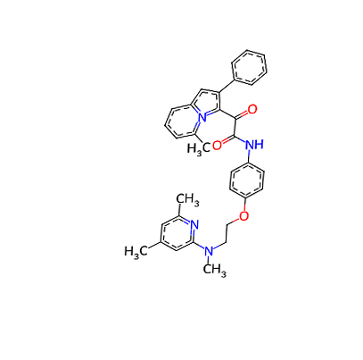 Cc1cc(C)nc(N(C)CCOc2ccc(NC(=O)C(=O)c3c(-c4ccccc4)cc4cccc(C)n34)cc2)c1